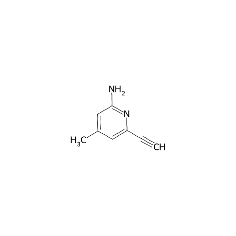 C#Cc1cc(C)cc(N)n1